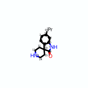 CC(C)c1ccc2c(c1)NC(=O)C21CCNCC1